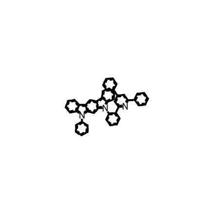 c1ccc(-c2cc(-c3ccccc3)nc(-c3ccccc3-n3c4ccccc4c4cc5c6ccccc6n(-c6ccccc6)c5cc43)c2)cc1